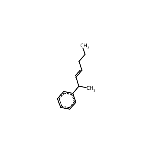 CCCC=CC(C)c1ccccc1